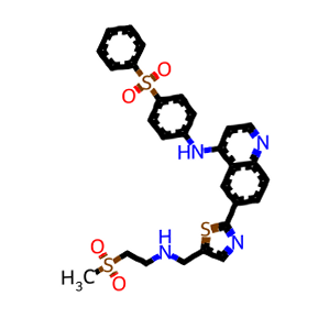 CS(=O)(=O)CCNCc1cnc(-c2ccc3nccc(Nc4ccc(S(=O)(=O)c5ccccc5)cc4)c3c2)s1